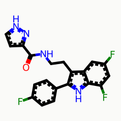 O=C(NCCc1c(-c2ccc(F)cc2)[nH]c2c(F)cc(F)cc12)c1cc[nH]n1